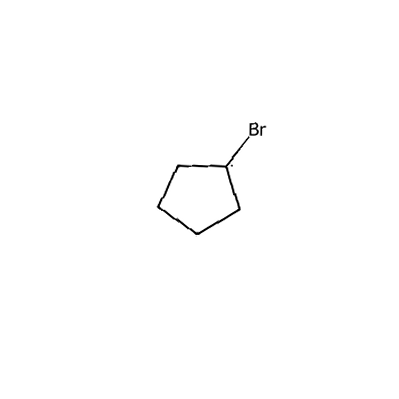 Br[C]1CCCC1